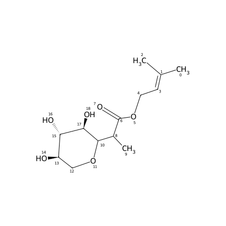 CC(C)=CCOC(=O)C(C)C1OC[C@@H](O)[C@H](O)[C@H]1O